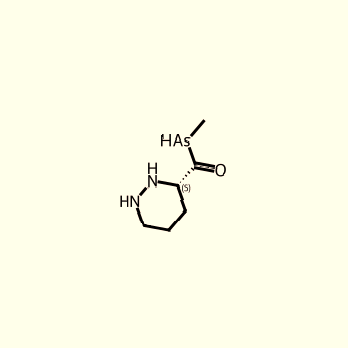 C[AsH]C(=O)[C@@H]1CCCNN1